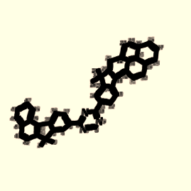 CC1(C)c2cc(-c3ncnc(-c4ccc5c(c4)C(C)(C)c4cc6ccc7cccc8ccc(c4-5)c6c78)n3)ccc2-c2c1ccc1ccccc21